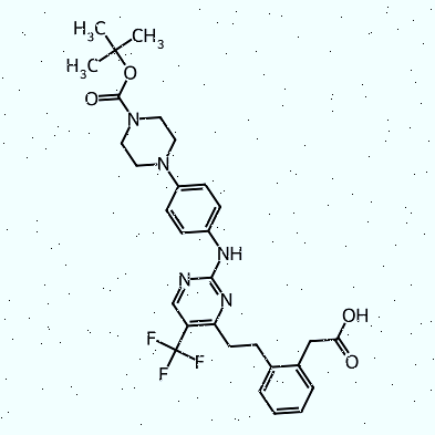 CC(C)(C)OC(=O)N1CCN(c2ccc(Nc3ncc(C(F)(F)F)c(CCc4ccccc4CC(=O)O)n3)cc2)CC1